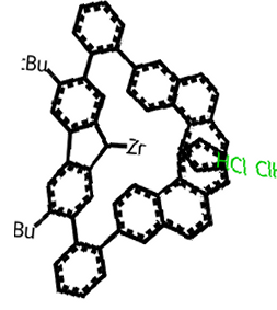 CC(C)(C)c1cc2c(cc1-c1ccccc1-c1ccc3c(ccc4ccccc43)c1)[CH]([Zr])c1cc(-c3ccccc3-c3ccc4c(ccc5ccccc54)c3)c(C(C)(C)C)cc1-2.Cl.Cl